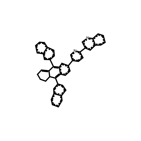 C1=C2C(c3ccc4ccccc4c3)=c3cc(-c4ccc(-c5cnc6ccccc6c5)nc4)ccc3=C(c3ccc4ccccc4c3)C2CCC1